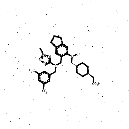 CCN(C[C@H]1CC[C@H](CC(=O)O)CC1)c1cc2c(cc1CN(Cc1cc(C(F)(F)F)cc(C(F)(F)F)c1)c1nnn(C)n1)CCC2